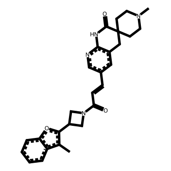 Cc1c(C2CN(C(=O)/C=C/c3cnc4c(c3)CC3(CCN(C)CC3)C(=O)N4)C2)oc2ccccc12